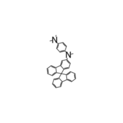 CN(C)c1ccc(N(C)c2ccc3c(c2)-c2ccccc2C32c3ccccc3-c3ccccc32)cc1